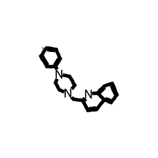 [c]1ccc(N2CCN(Cc3ccc4ccccc4n3)CC2)cc1